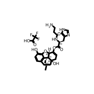 CN1CC[C@]23c4c5ccc(O)c4O[C@H]2C(OC(=O)[C@H](Cc2c[nH]cn2)NC(=O)CCN)=CC[C@]3(O)C1C5.O=C(O)C(F)(F)F